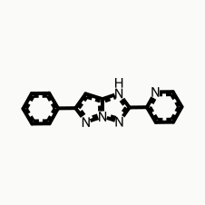 c1ccc(-c2cc3[nH]c(-c4ccccn4)nn3n2)cc1